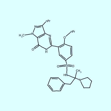 CCCOc1ccc(S(=O)(=O)NC(C)(Cc2ccccc2)N2CCCC2)cc1-c1nc2c(CCC)nn(C)c2c(=O)[nH]1